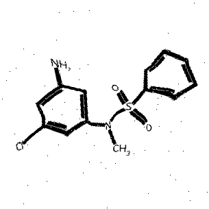 CN(c1cc(N)cc(Cl)c1)S(=O)(=O)c1ccccc1